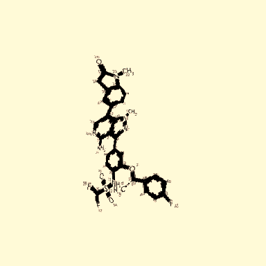 C[C@H](Oc1cc(-c2nn(C)c3c(-c4ccc5c(c4)CC(=O)N5C)cnc(N)c23)ccc1NS(=O)(=O)C(F)F)c1ccc(F)cc1